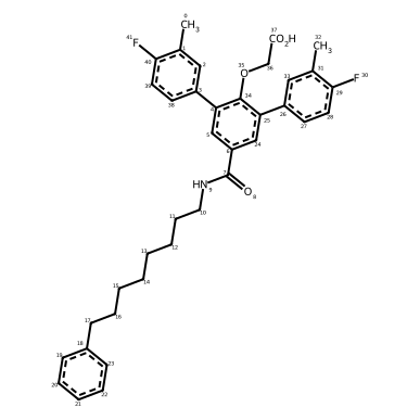 Cc1cc(-c2cc(C(=O)NCCCCCCCCc3ccccc3)cc(-c3ccc(F)c(C)c3)c2OCC(=O)O)ccc1F